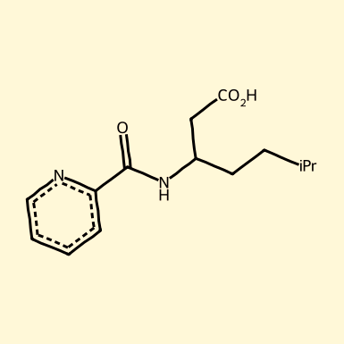 CC(C)CCC(CC(=O)O)NC(=O)c1ccccn1